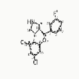 Fc1cncc(C(Oc2cc(Cl)cc(Cl)c2)[C@H]2CCNC2)c1